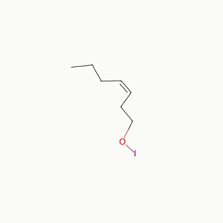 CCC/C=C\CCOI